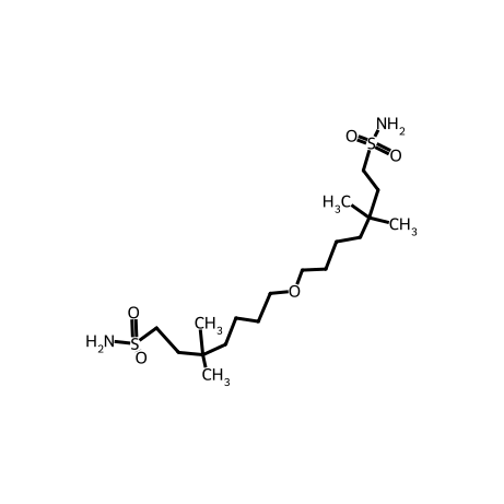 CC(C)(CCCCOCCCCC(C)(C)CCS(N)(=O)=O)CCS(N)(=O)=O